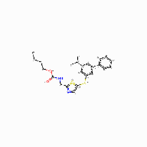 CCCCOC(=O)NCc1ncc(Sc2cc(-c3ccccc3)cc(C(C)C)c2)s1